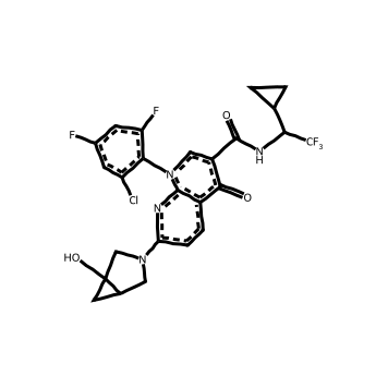 O=C(NC(C1CC1)C(F)(F)F)c1cn(-c2c(F)cc(F)cc2Cl)c2nc(N3CC4CC4(O)C3)ccc2c1=O